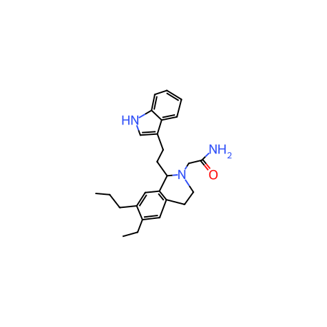 CCCc1cc2c(cc1CC)CCN(CC(N)=O)C2CCc1c[nH]c2ccccc12